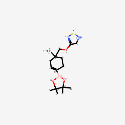 CCOC(=O)C1(COC2=NSNC2)CC=C(B2OC(C)(C)C(C)(C)O2)CC1